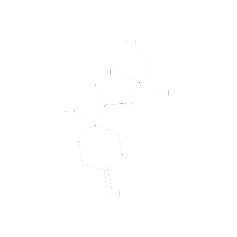 C=C1CCC(C)(C(=O)OC(C)(C)CC)CC1